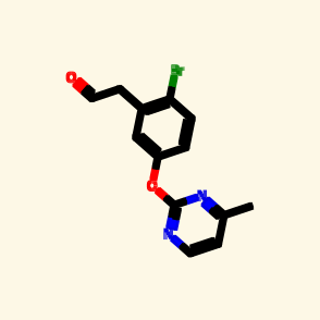 Cc1ccnc(Oc2ccc(Br)c(CC=O)c2)n1